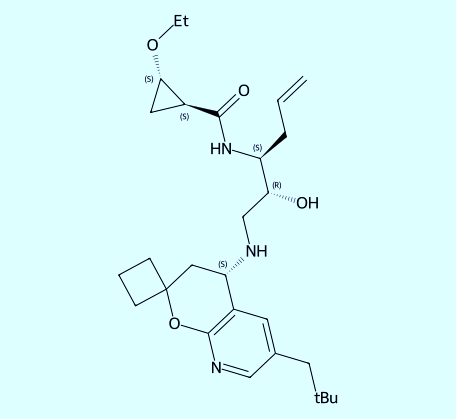 C=CC[C@H](NC(=O)[C@H]1C[C@@H]1OCC)[C@H](O)CN[C@H]1CC2(CCC2)Oc2ncc(CC(C)(C)C)cc21